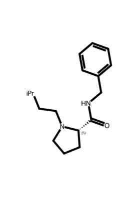 CC(C)CCN1CCC[C@H]1C(=O)NCc1ccccc1